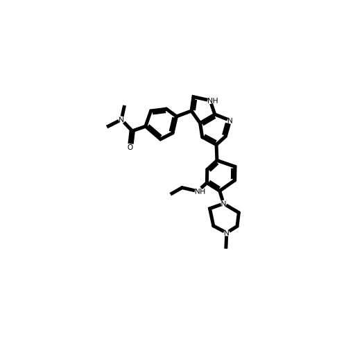 CCNc1cc(-c2cnc3[nH]cc(-c4ccc(C(=O)N(C)C)cc4)c3c2)ccc1N1CCN(C)CC1